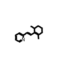 CC1=C(C=Cc2ccccn2)C(C)CCC1